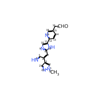 Cn1cc(/C(C=N)=C/c2ncc(-c3ccc(CC=O)cn3)[nH]2)cn1